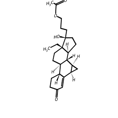 CC[C@]12CC[C@H]3[C@@H]([C@H]4C[C@H]4C4=CC(=O)CC[C@@H]43)[C@@H]1CC[C@@]2(O)CCCOC(C)=O